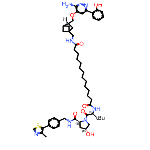 Cc1ncsc1-c1ccc(CNC(=O)[C@@H]2C[C@@H](O)CN2C(=O)[C@@H](NC(=O)CCCCCCCCCCCCC(=O)NCC23CC(C2)[C@@H](COc2cc(-c4ccccc4O)nnc2N)C3)C(C)(C)C)cc1